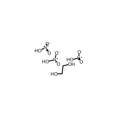 O=[N+]([O-])O.O=[N+]([O-])O.O=[N+]([O-])O.OCCO